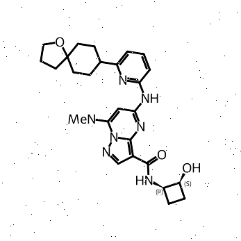 CNc1cc(Nc2cccc(C3CCC4(CCCO4)CC3)n2)nc2c(C(=O)N[C@@H]3CC[C@@H]3O)cnn12